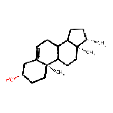 C[C@H]1CCC2C3CC=C4C[C@@H](O)CC[C@]4(C)C3CC[C@@]21C